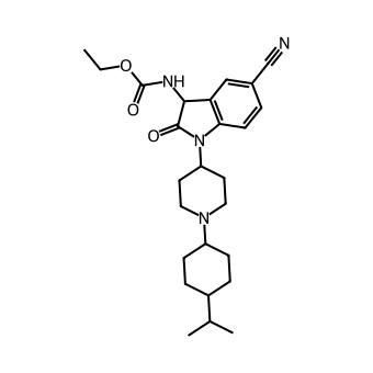 CCOC(=O)NC1C(=O)N(C2CCN(C3CCC(C(C)C)CC3)CC2)c2ccc(C#N)cc21